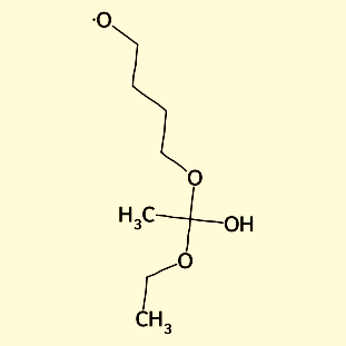 CCOC(C)(O)OCCCC[O]